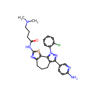 CN(C)CCCC(=O)Nc1nc2c(s1)-c1c(c(-c3ccc(N)nc3)nn1-c1ccccc1F)CCC2